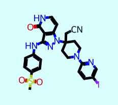 CS(=O)(=O)c1ccc(Nc2nn(C3(CC#N)CCN(c4ccc(I)cn4)CC3)c3cc[nH]c(=O)c23)cc1